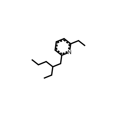 CCCC(CC)Cc1cccc(CC)n1